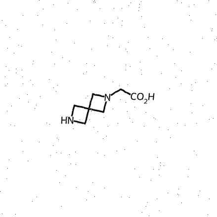 O=C(O)CN1CC2(CNC2)C1